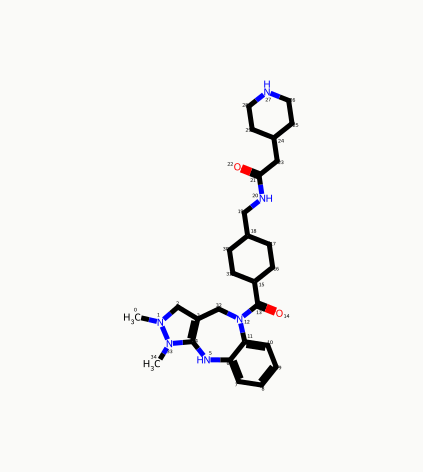 CN1CC2=C(Nc3ccccc3N(C(=O)C3CCC(CNC(=O)CC4CCNCC4)CC3)C2)N1C